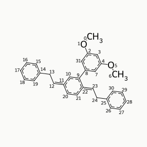 COc1cc(OC)cc(-c2cc(=CCc3ccccc3)ccc2=CCc2ccccc2)c1